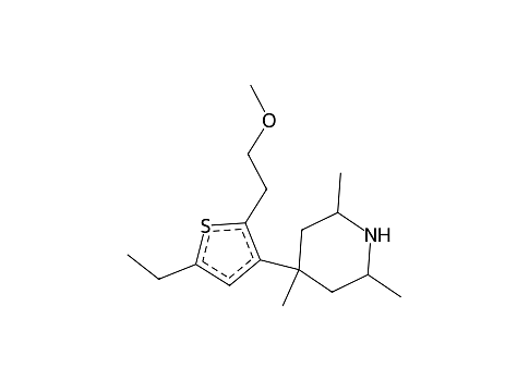 CCc1cc(C2(C)CC(C)NC(C)C2)c(CCOC)s1